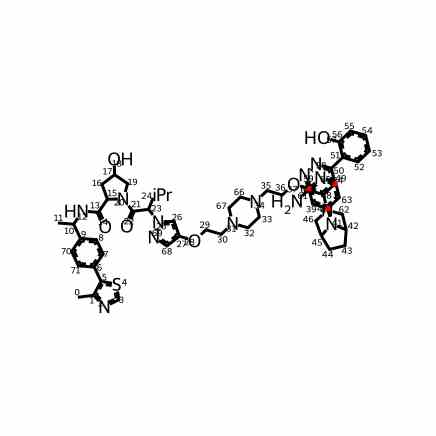 Cc1ncsc1-c1ccc(C(C)NC(=O)C2CC(O)CN2C(=O)C(C(C)C)n2cc(OCCN3CCN(CCOc4cc(N5C6CCC5CN(c5cc(-c7ccccc7O)nnc5N)C6)ccn4)CC3)cn2)cc1